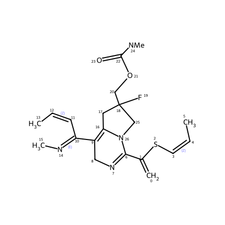 C=C(S/C=C\C)C1=NCC(C(/C=C\C)=N/C)=C2CC(F)(COC(=O)NC)CN12